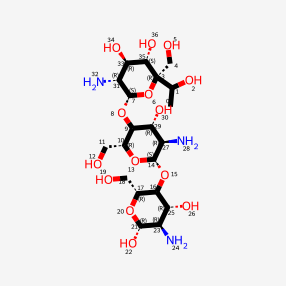 CC(O)[C@@]1(CO)O[C@H](OC2[C@@H](CO)O[C@@H](OC3[C@@H](CO)O[C@@H](O)[C@H](N)[C@H]3O)[C@H](N)[C@H]2O)[C@H](N)[C@@H](O)[C@@H]1O